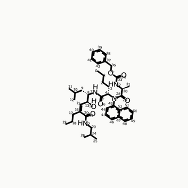 CCCC[C@@H](C(=O)N[C@@H](CC(C)C)[C@@H](O)/C=C(/CCC)C(=O)NCC(C)C)N(C(=O)[C@H](C)NC(=O)OCc1ccccc1)c1cccc2ccccc12